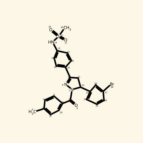 Cc1ccc(C(=O)N2N=C(c3ccc(NS(C)(=O)=O)cc3)CC2c2cccc(Br)c2)cc1